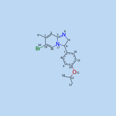 CC1=CC2=NCC(c3ccc(OC(C)C)cc3)N2C=C1Br